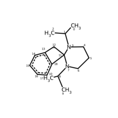 CC(C)N1CCCN(C(C)C)C12[C]c1ccccc12